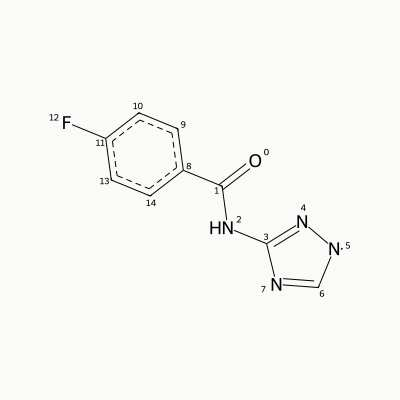 O=C(NC1=N[N]C=N1)c1ccc(F)cc1